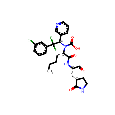 CCCC[C@@H](C(=O)N[C@H](C=O)C[C@@H]1CCNC1=O)N(C(=O)O)[C@H](c1cccnc1)C(F)(F)c1cccc(Cl)c1